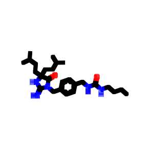 CCCCNC(=O)NCc1ccc(CN2C(=N)NC(CCC(C)C)(CCC(C)C)C2=O)cc1